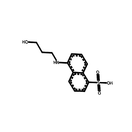 O=S(=O)(O)c1cccc2c(NCCCO)cccc12